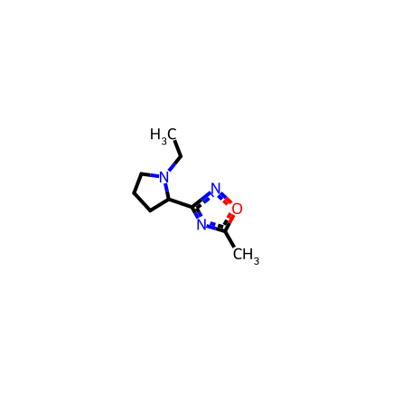 CCN1CCCC1c1noc(C)n1